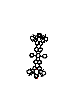 CC1(C)CCCC2(C)c3cc(-c4ccc5c6c(-c7ccccc7)c7c8ccc(-c9ccc%10c(c9)C9(C)CCCC(C)(C)C9(C)N%10c9ccccc9)c9c(-c%10ccc%11c(c%10)C%10(C)CCCC(C)(C)C%10(C)N%11c%10ccccc%10)ccc(c7c(-c7ccccc7)c6c6ccc(-c7ccc%10c(c7)C7(C)CCCC(C)(C)C7(C)N%10c7ccccc7)c4c56)c98)ccc3N(c3ccccc3)C12C